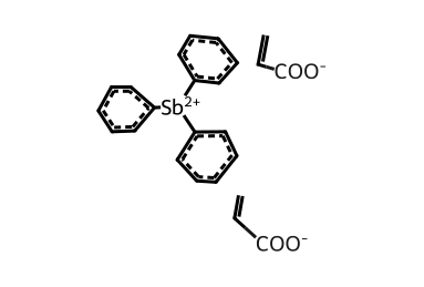 C=CC(=O)[O-].C=CC(=O)[O-].c1cc[c]([Sb+2]([c]2ccccc2)[c]2ccccc2)cc1